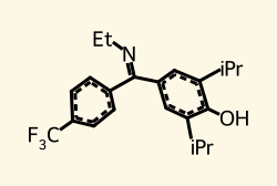 CC/N=C(\c1ccc(C(F)(F)F)cc1)c1cc(C(C)C)c(O)c(C(C)C)c1